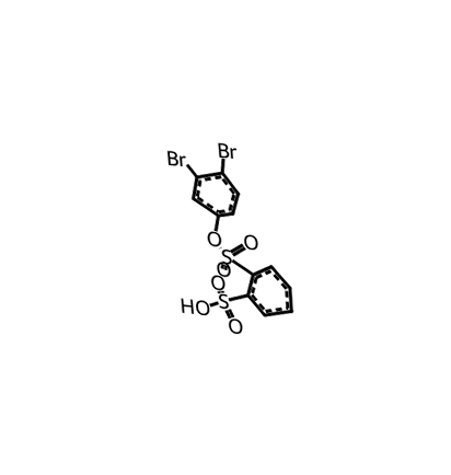 O=S(=O)(O)c1ccccc1S(=O)(=O)Oc1ccc(Br)c(Br)c1